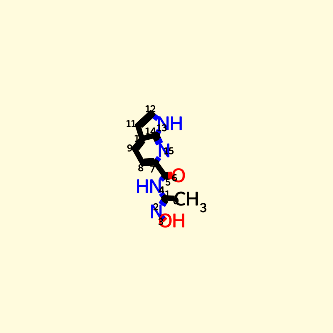 C/C(=N\O)NC(=O)c1ccc2cc[nH]c2n1